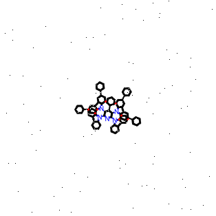 c1ccc(-c2ccc3c(c2)c2cc(-c4ccccc4)ccc2n3-c2c(-n3c4ccccc4c4ccccc43)nc(-n3c4ccccc4c4ccccc43)c(-n3c4ccc(-c5ccccc5)cc4c4cc(-c5ccccc5)ccc43)c2-c2ccccc2)cc1